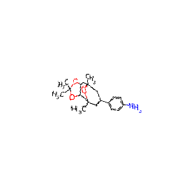 CC1(C)OC2C(O1)C1(C)CC(c3ccc(N)cc3)CC2(C)O1